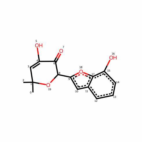 CC1(C)C=C(O)C(=O)C(c2cc3cccc(O)c3o2)O1